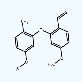 COc1ccc(C)c(Oc2cc(OC)ccc2C=S)c1